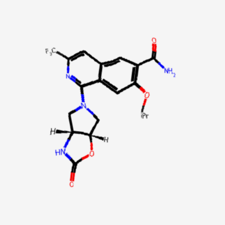 CC(C)Oc1cc2c(N3C[C@@H]4OC(=O)N[C@@H]4C3)nc(C(F)(F)F)cc2cc1C(N)=O